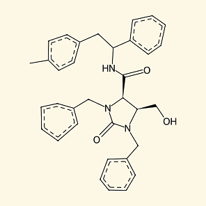 Cc1ccc(CC(NC(=O)[C@H]2[C@@H](CO)N(Cc3ccccc3)C(=O)N2Cc2ccccc2)c2ccccc2)cc1